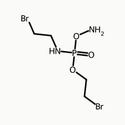 NOP(=O)(NCCBr)OCCBr